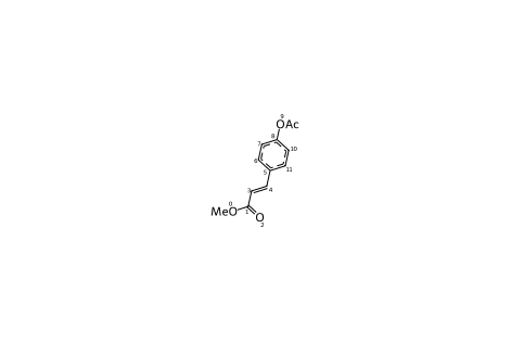 COC(=O)C=Cc1ccc(OC(C)=O)cc1